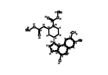 Cc1cc2c(cc1Br)nc(Cl)c1nnn([C@H]3CCN(C(=O)OC(C)(C)C)[C@H](CC(=O)OC(C)(C)C)C3)c12